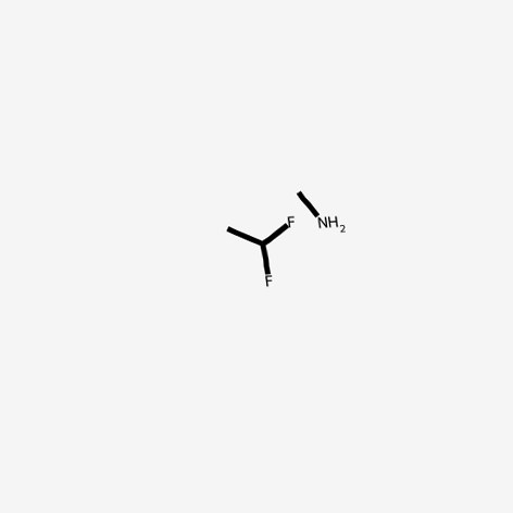 CC(F)F.CN